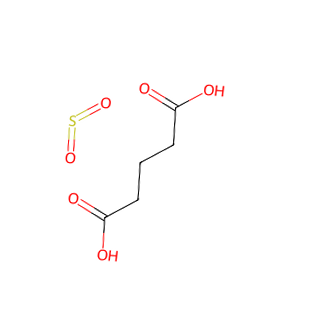 O=C(O)CCCC(=O)O.O=S=O